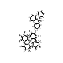 Fc1c(F)c(F)c([B-](c2c(F)c(F)c(F)c(F)c2F)(c2c(F)c(F)c(F)c(F)c2F)c2c(F)c(F)c(F)c(F)c2F)c(F)c1F.[CH2+]C(c1ccccc1)(c1ccccc1)c1ccccc1